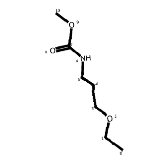 CCOCCCNC(=O)OC